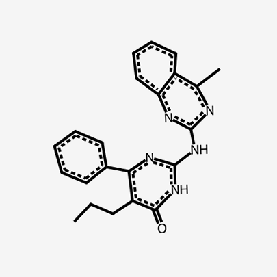 CCCc1c(-c2ccccc2)nc(Nc2nc(C)c3ccccc3n2)[nH]c1=O